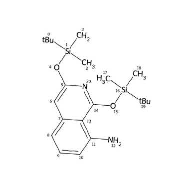 CC(C)(C)[Si](C)(C)Oc1cc2cccc(N)c2c(O[Si](C)(C)C(C)(C)C)n1